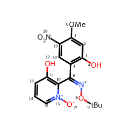 COc1cc(O)c(C(=NOC(C)(C)C)c2c(O)ccc[n+]2[O-])cc1[N+](=O)[O-]